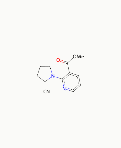 COC(=O)c1cccnc1N1CCCC1C#N